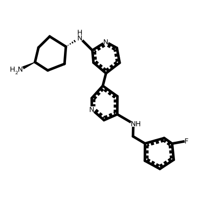 N[C@H]1CC[C@H](Nc2cc(-c3cncc(NCc4cccc(F)c4)c3)ccn2)CC1